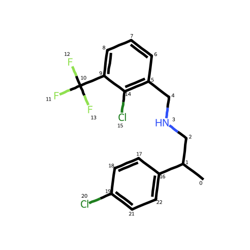 CC(CNCc1cccc(C(F)(F)F)c1Cl)c1ccc(Cl)cc1